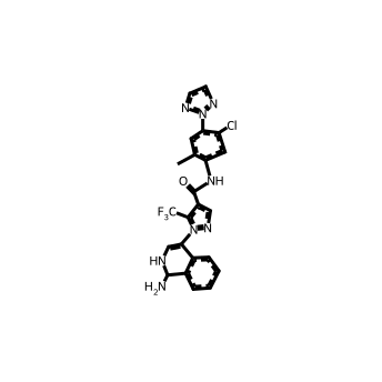 Cc1cc(-n2nccn2)c(Cl)cc1NC(=O)c1cnn(C2=CNC(N)c3ccccc32)c1C(F)(F)F